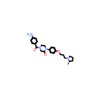 C[C@@H]1CCCN1CCCOc1ccc(N2CCN(C(=O)c3ccc(N)cc3)CC2=O)cc1